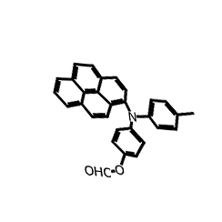 Cc1ccc(N(c2ccc(OC=O)cc2)c2ccc3ccc4cccc5ccc2c3c45)cc1